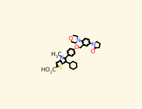 Cn1c(-c2ccc(OCc3cc(N4CCCC4=O)ccc3N3CCOCC3)cc2)c(C2CCCCC2)c2sc(C(=O)O)cc21